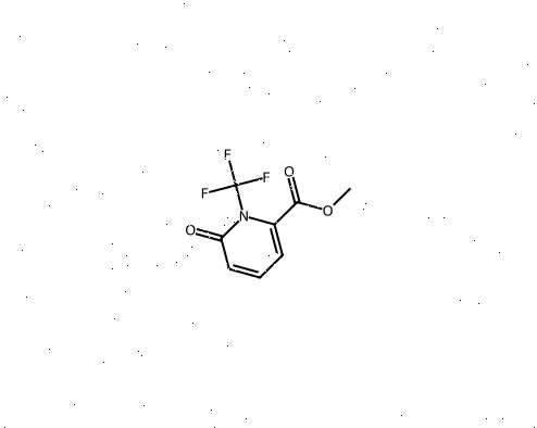 COC(=O)c1cccc(=O)n1C(F)(F)F